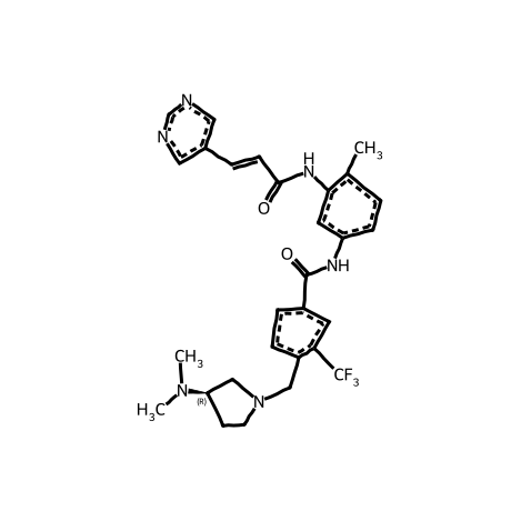 Cc1ccc(NC(=O)c2ccc(CN3CC[C@@H](N(C)C)C3)c(C(F)(F)F)c2)cc1NC(=O)C=Cc1cncnc1